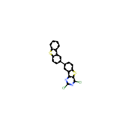 Clc1nc(Cl)c2sc3ccc(-c4ccc5sc6ccccc6c5c4)cc3c2n1